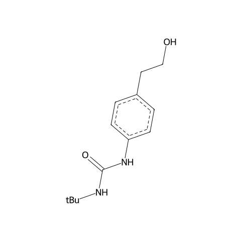 CC(C)(C)NC(=O)Nc1ccc(CCO)cc1